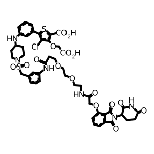 O=C(O)COc1c(C(=O)O)sc(-c2cccc(NC3CCN(S(=O)(=O)Cc4cccc(NC(=O)CCOCCOCCNC(=O)COc5cccc6c5C(=O)N(C5CCC(=O)NC5=O)C6=O)c4)CC3)c2)c1Cl